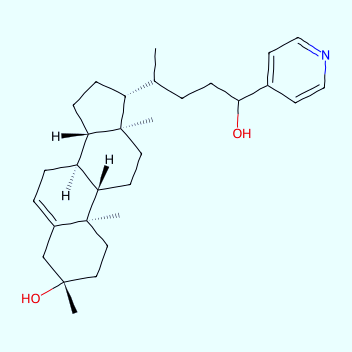 CC(CCC(O)c1ccncc1)[C@H]1CC[C@H]2[C@@H]3CC=C4C[C@@](C)(O)CC[C@]4(C)[C@H]3CC[C@]12C